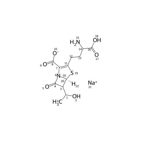 CC(O)C1C(=O)N2C(C(=O)[O-])=C(CCC(N)C(=O)O)S[C@@H]12.[Na+]